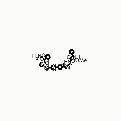 COC(=O)N[C@@H](C(=O)CN[C@@H](C)c1ncc(-c2ccc(-c3ncc(-c4cnc([C@@H]5CCCN5C(=O)[C@H](OC(N)=O)c5ccccc5)[nH]4)cn3)cc2)[nH]1)c1ccccc1